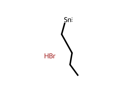 Br.CCC[CH2][Sn]